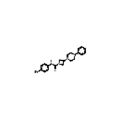 CC(C)c1ccc(NC(=O)N2CC(N3CCN(c4ccccc4)CC3)C2)cc1